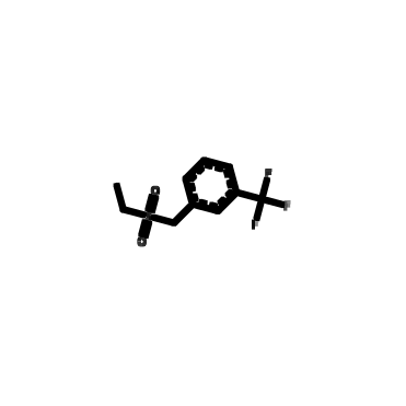 CCS(=O)(=O)Cc1cccc(C(F)(F)F)c1